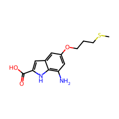 CSCCCOc1cc(N)c2[nH]c(C(=O)O)cc2c1